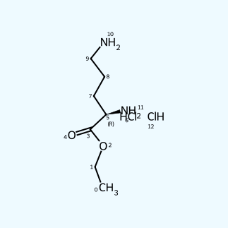 CCOC(=O)[C@H](N)CCCN.Cl.Cl